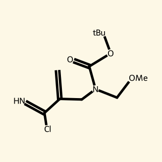 C=C(CN(COC)C(=O)OC(C)(C)C)C(=N)Cl